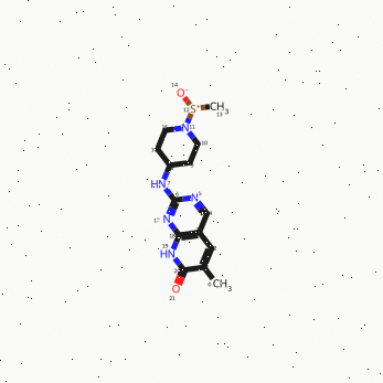 Cc1cc2cnc(NC3CCN([S+](C)[O-])CC3)nc2[nH]c1=O